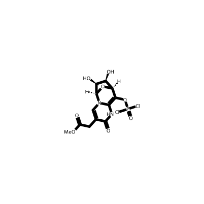 COC(=O)CC1=CN2C(=C(OP(=O)(Cl)Cl)[C@H]3O[C@@H]2[C@@H](O)[C@H]3O)NC1=O